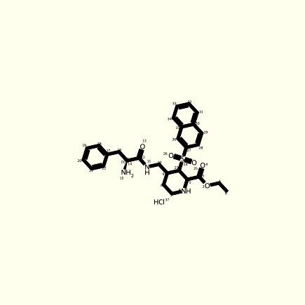 CCOC(=O)C1NCCC(CNC(=O)[C@@H](N)Cc2ccccc2)C1S(=O)(=O)c1ccc2ccccc2c1.Cl